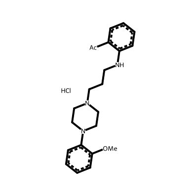 COc1ccccc1N1CCN(CCCNc2ccccc2C(C)=O)CC1.Cl